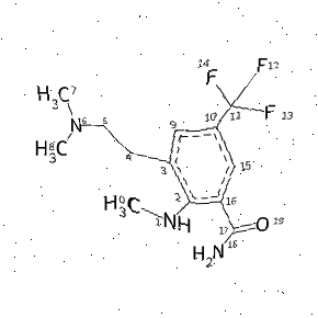 CNc1c(CCN(C)C)cc(C(F)(F)F)cc1C(N)=O